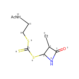 CCC1C(=O)NC1SC(=S)SCCNC(C)=O